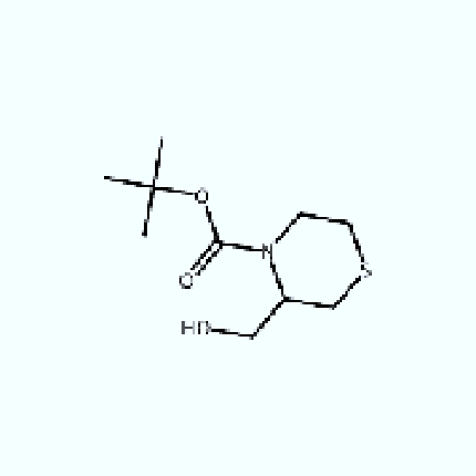 CC(C)(C)OC(=O)N1CCSCC1CO